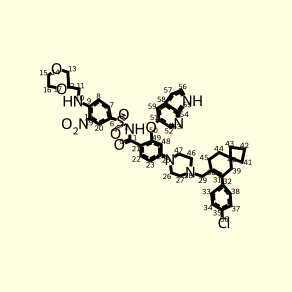 O=C(NS(=O)(=O)c1ccc(NCC2COCCO2)c([N+](=O)[O-])c1)c1ccc(N2CCN(CC3=C(c4ccc(Cl)cc4)CC4(CCC4)CC3)CC2)cc1Oc1cnc2[nH]ccc2c1